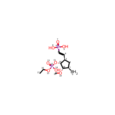 B[C@@H]1C[C@H](/C=C/P(=O)(O)O)[C@@H](OP(=O)(O)OCC)[C@H]1OC